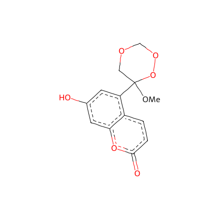 COC1(c2cc(O)cc3oc(=O)ccc23)COCOO1